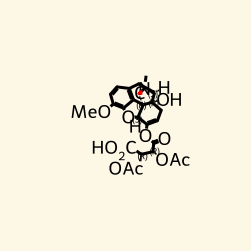 COc1ccc2c3c1O[C@@H]1C(OC(=O)[C@H](OC(C)=O)[C@@H](OC(C)=O)C(=O)O)=CC[C@]4(O)[C@H](C2)N(C)CC[C@@]314